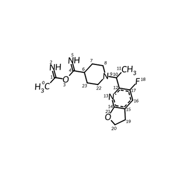 CC(=N)OC(=N)C1CCN(C(C)c2nc3c(cc2F)CCO3)CC1